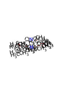 CC(C)(C)c1cc(-c2ccc3c(c2)c2c4c5c(-c6cc(C(C)(C)C)cc(C(C)(C)C)c6)cccc5n5c6cccc(-c7cc(C(C)(C)C)cc(C(C)(C)C)c7)c6c(c6c7c(-c8cc(C(C)(C)C)cc(C(C)(C)C)c8)cccc7n3c26)c45)cc(C(C)(C)C)c1